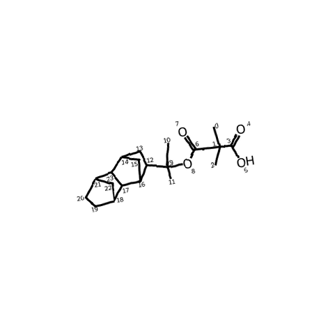 CC(C)(C(=O)O)C(=O)OC(C)(C)C1CC2CC1C1C3CCC(C3)C21